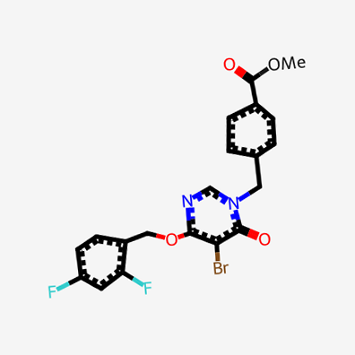 COC(=O)c1ccc(Cn2cnc(OCc3ccc(F)cc3F)c(Br)c2=O)cc1